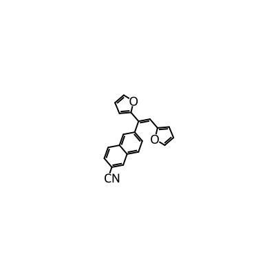 N#Cc1ccc2cc(/C(=C\c3ccco3)c3ccco3)ccc2c1